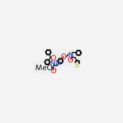 COC(=O)C(Cc1ccc(OCCN(Cc2ccccc2)C(=O)Cc2ccsc2)cc1)Nc1ccccc1C(=O)c1ccccc1